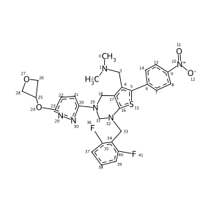 CN(C)Cc1c(-c2ccc([N+](=O)[O-])cc2)sc2c1CN(c1ccc(OC3COC3)nn1)CN2Cc1c(F)cccc1F